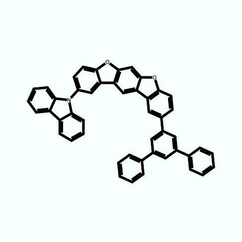 c1ccc(-c2cc(-c3ccccc3)cc(-c3ccc4oc5cc6oc7ccc(-n8c9ccccc9c9ccccc98)cc7c6cc5c4c3)c2)cc1